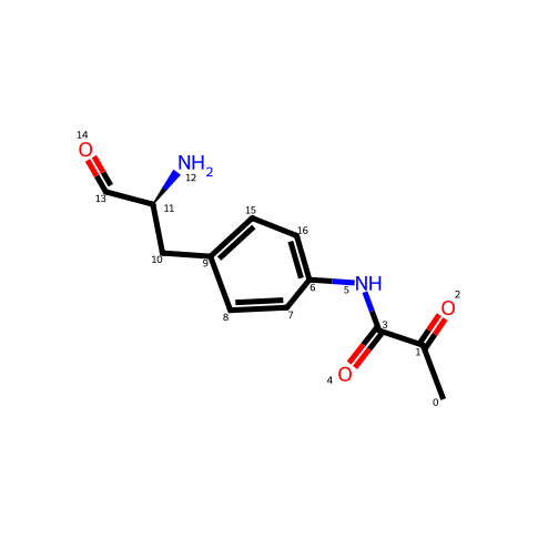 CC(=O)C(=O)Nc1ccc(C[C@H](N)C=O)cc1